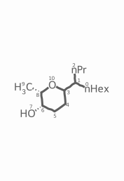 CCCCCCC(CCC)C1CC[C@H](O)[C@H](C)O1